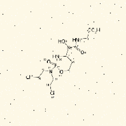 O=C(O)CNC(=O)N(O)C1CCOP(=O)(N(CCCl)CCCl)N1